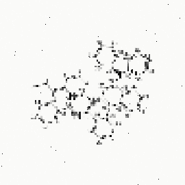 CC/C=C\C=C/Cc1nc(-c2ccccc2)nc(-c2ccccc2-c2ccc(-n3c4ccccc4c4cnccc43)c3ccccc23)n1